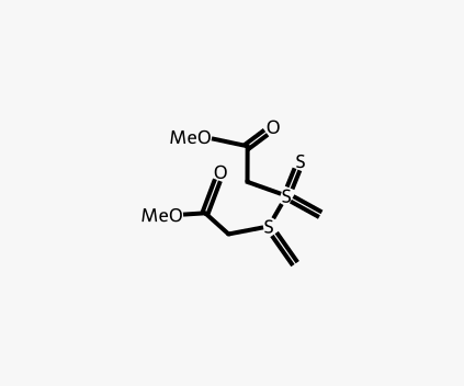 C=S(CC(=O)OC)S(=C)(=S)CC(=O)OC